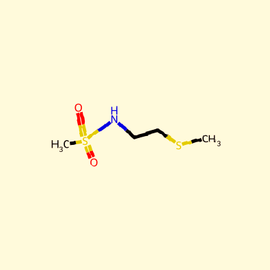 CSCCNS(C)(=O)=O